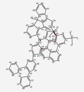 CC(C)(C)c1cc(-c2cccc3cccc(-c4ccccc4N(c4ccc(-c5ccc(-c6ccccc6)c(-c6ccccc6)c5)cc4)c4cccc5c4-c4ccccc4C5(C)c4ccccc4)c23)cc(C(C)(C)C)c1